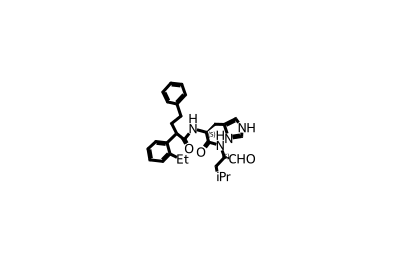 CCc1ccccc1C(CCc1ccccc1)C(=O)N[C@@H](Cc1c[nH]cn1)C(=O)N[C@H](C=O)CC(C)C